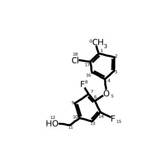 Cc1ccc(Oc2c(F)cc(CO)cc2F)cc1Cl